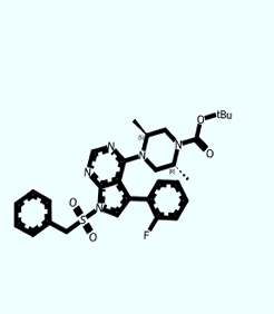 C[C@@H]1CN(c2ncnc3c2c(-c2ccccc2F)cn3S(=O)(=O)Cc2ccccc2)[C@@H](C)CN1C(=O)OC(C)(C)C